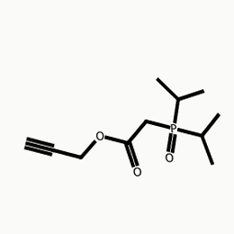 C#CCOC(=O)CP(=O)(C(C)C)C(C)C